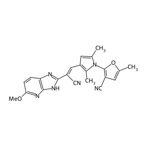 COc1ccc2nc(/C(C#N)=C/c3cc(C)n(-c4oc(C)cc4C#N)c3C)[nH]c2n1